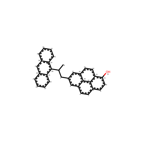 CC(Cc1cc2ccc3ccc(O)c4ccc(c1)c2c34)c1c2ccccc2cc2ccccc12